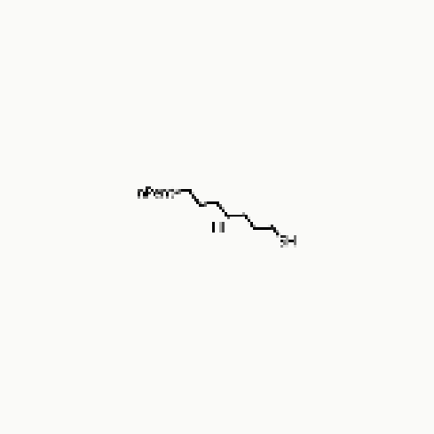 CCCCCCCCCCCCS.I